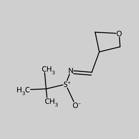 CC(C)(C)[S+]([O-])N=CC1COC1